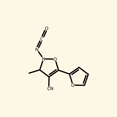 CC1C(C#N)=C(c2ccco2)ON1N=C=O